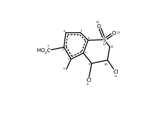 Cc1c(C(=O)O)ccc2c1C(Cl)C(Cl)CS2(=O)=O